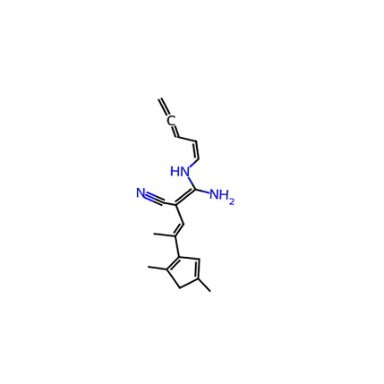 C=C=C/C=C\N/C(N)=C(C#N)/C=C(\C)C1=C(C)CC(C)=C1